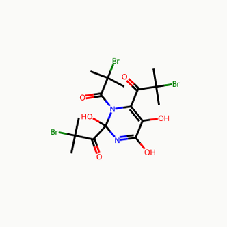 CC(C)(Br)C(=O)C1=C(O)C(O)=NC(O)(C(=O)C(C)(C)Br)N1C(=O)C(C)(C)Br